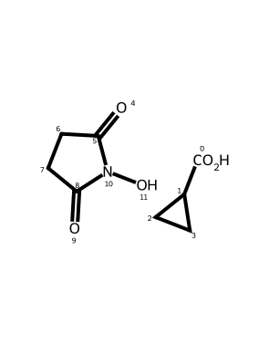 O=C(O)C1CC1.O=C1CCC(=O)N1O